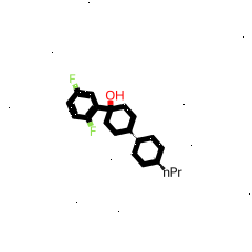 CCC[C@H]1CC[C@H](C2CCC(O)(c3cc(F)ccc3F)CC2)CC1